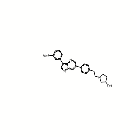 CSc1cccc(-c2cnn3cc(-c4ccc(CCN5CCC(O)C5)cc4)cnc23)c1